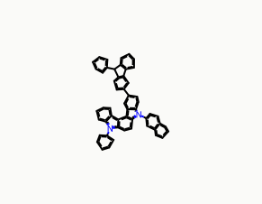 c1ccc(C2c3ccccc3-c3cc(-c4ccc5c(c4)c4c6c7ccccc7n(-c7ccccc7)c6ccc4n5-c4ccc5ccccc5c4)ccc32)cc1